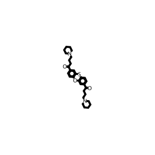 O=C(CCCN1CCCCC1)c1ccc2c(c1)Oc1ccc(C(=O)CCCN3CCCCC3)cc1S2